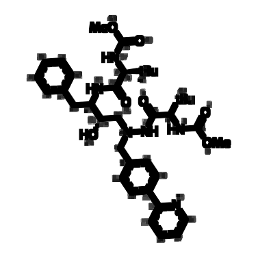 COC(=O)NC(C(=O)NN(Cc1ccc(-c2ccccn2)cc1)C[C@H](O)C(Cc1ccccc1)NC(=O)[C@@H](NC(=O)OC)C(C)(C)C)C(C)(C)C